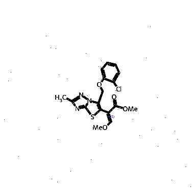 CO/C=C(/C(=O)OC)c1sc2nc(C)nn2c1COc1ccccc1Cl